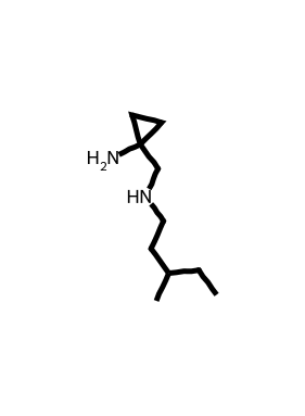 CCC(C)CCNCC1(N)CC1